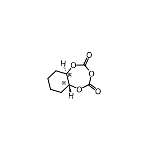 O=C1OC(=O)O[C@@H]2CCCC[C@H]2O1